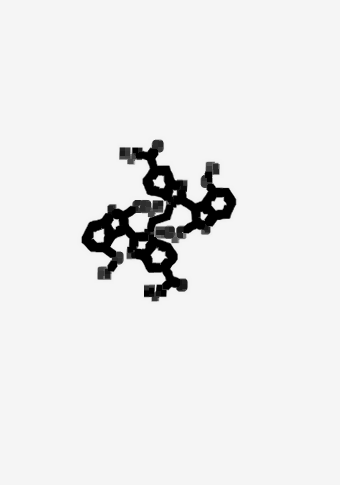 CCOc1cccc2sc(C(=O)O)c(-c3nc4cc(C(N)=O)ccc4n3CCn3c(-c4c(C(=O)O)sc5cccc(OCC)c45)nc4cc(C(N)=O)ccc43)c12